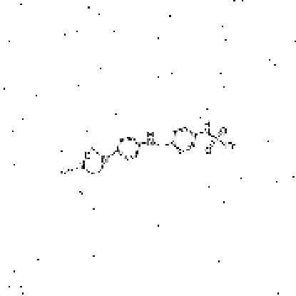 CC(=O)N1CCN(c2ccc(NCc3ccc(NS(=O)(=O)C(C)C)cc3)cc2)CC1